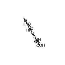 CCCOCCNC(=O)COCC(=O)NCCOCCOCCNC(=O)COCC(=O)O